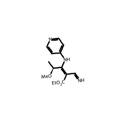 CCOC(=O)/C(C=N)=C(/Nc1ccncc1)[C@H](C)OC